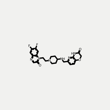 O=C1COc2ccc(CNC3CCN(CCn4c(=O)cnc5cc(F)c(F)cc54)CC3)nc2N1